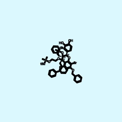 CC(C)(C)[Si](C)(C)OCCO[C@@]1(Cc2ccccc2)c2c(OCc3ccccc3)cc(OCc3ccccc3)c(Br)c2O[C@H](c2ccc(O)c(O)c2)[C@]1(Cc1ccccc1)O[Si](C)(C)C(C)(C)C